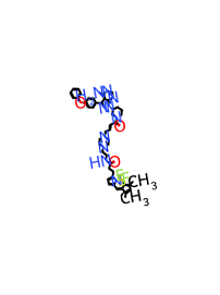 CC1=CC(C)=C2C1=Cc1ccc(CCC(=O)NCCN3CCN(C/C=C/C(=O)N4CCC[C@@H](n5nc(-c6ccc(Oc7ccccc7)cc6)c6c(N)ncnc65)C4)CC3)n1S2(F)F